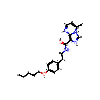 CCCCCOc1ccc(CCNC(=O)c2ncn3c(C)ccnc23)cc1